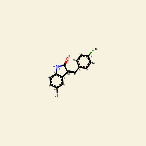 O=C1Nc2ccc(I)cc2C1=Cc1ccc(F)cc1